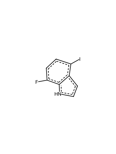 Fc1ccc(I)c2cc[nH]c12